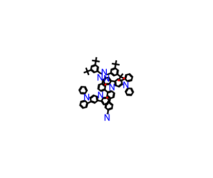 CC(C)(C)c1cc(-c2nc(-c3cc(C(C)(C)C)cc(C(C)(C)C)c3)nc(-c3ccc(-n4c5ccccc5c5cc6c7ccccc7n(-c7ccccc7)c6cc54)c(-c4cc(-c5ccc(C#N)cc5)ccc4-n4c5ccccc5c5cc6c7ccccc7n(-c7ccccc7)c6cc54)c3)n2)cc(C(C)(C)C)c1